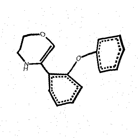 C1=C(c2ccccc2Oc2ccccc2)NCCO1